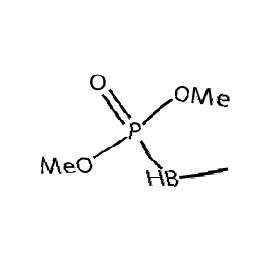 CBP(=O)(OC)OC